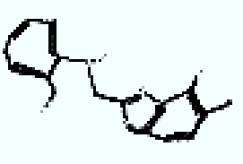 Fc1ccccc1NCc1nc2c(F)c(F)ccc2s1